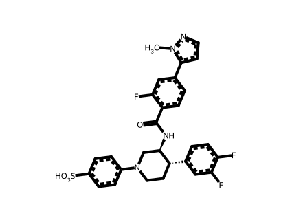 Cn1nccc1-c1ccc(C(=O)N[C@@H]2CN(c3ccc(S(=O)(=O)O)cc3)CC[C@H]2c2ccc(F)c(F)c2)c(F)c1